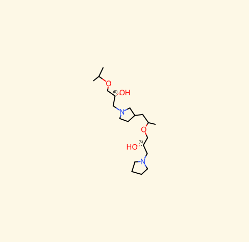 CC(C)OC[C@H](O)CN1CCC(CC(C)OC[C@@H](O)CN2CCCC2)C1